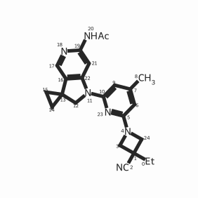 CCC1(C#N)CN(c2cc(C)cc(N3CC4(CC4)c4cnc(NC(C)=O)cc43)n2)C1